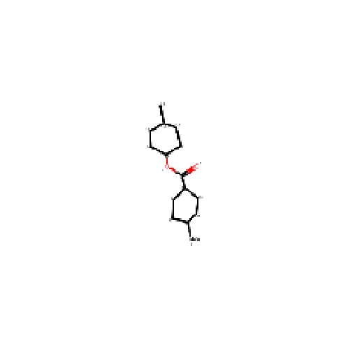 CCCCC1CCC(C(=O)OC2CCC(C)CC2)CC1